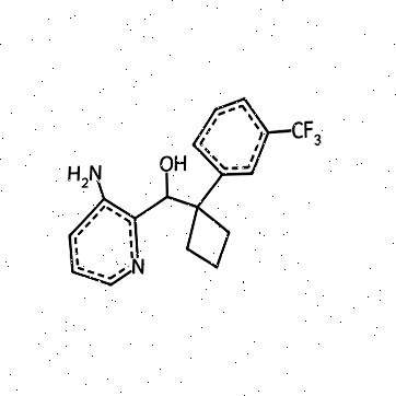 Nc1cccnc1C(O)C1(c2cccc(C(F)(F)F)c2)CCC1